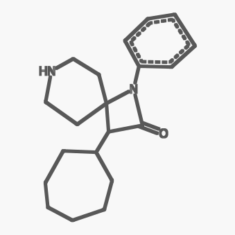 O=C1C(C2CCCCCC2)C2(CCNCC2)N1c1ccccc1